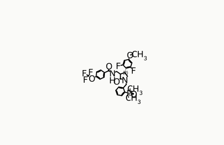 COc1cc(F)c([C@@H]2CN(Cc3ccccc3P(C)(C)=O)C(=O)C2CNC(=O)c2ccc(OC(F)(F)F)cc2)c(F)c1